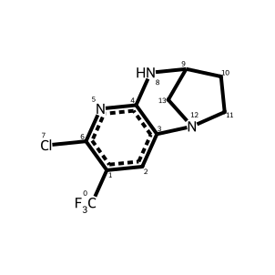 FC(F)(F)c1cc2c(nc1Cl)NC1CCN2C1